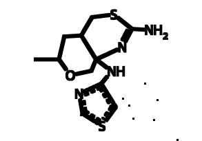 CC1CC2CSC(N)=NC2(Nc2cscn2)CO1